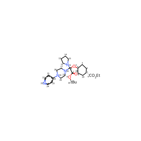 CCOC(=O)[C@H]1CC[C@H](OC(C(=O)OC(C)(C)C)(N2CCCC2)N2CCN(c3ccncc3)CC2)CC1